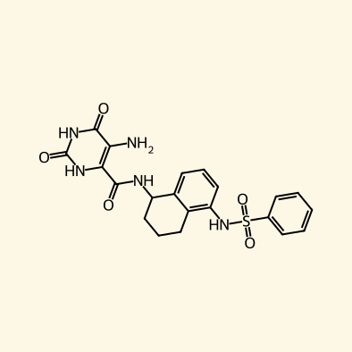 Nc1c(C(=O)NC2CCCc3c(NS(=O)(=O)c4ccccc4)cccc32)[nH]c(=O)[nH]c1=O